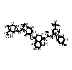 Cc1ccc(-n2nc(C(C)(C)C)cc2NC(=O)N[C@H]2CC[C@@H](Oc3ccc4nnc(CN5CCN(C)C(CO)C5)n4c3)c3ccccc32)cc1